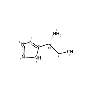 N#CC[C@@H](N)c1nnn[nH]1